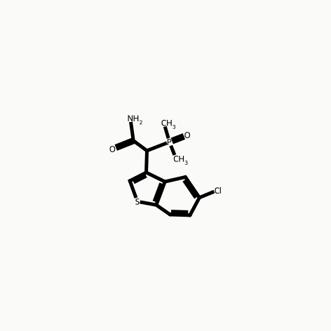 CP(C)(=O)C(C(N)=O)c1csc2ccc(Cl)cc12